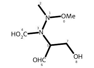 CON(C)N(C(=O)O)C(C=O)CO